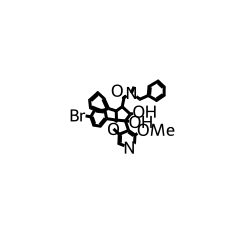 COc1cncc2c1C1(O)C(O)C(C(=O)N(C)Cc3ccccc3)C(c3ccccc3)C1(c1ccc(Br)cc1)O2